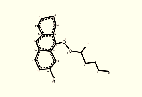 CCCCC(I)OOc1c2ccccc2cc2ccc(Cl)cc12